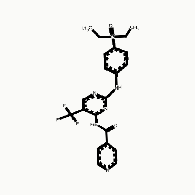 CCP(=O)(CC)c1ccc(Nc2ncc(C(F)(F)F)c(NC(=O)c3ccncc3)n2)cc1